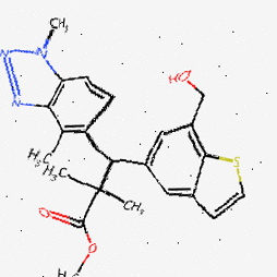 COC(=O)C(C)(C)C(c1cc(CO)c2sccc2c1)c1ccc2c(nnn2C)c1C